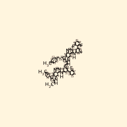 C=CC(=O)Nc1cc2c(Nc3cc(-c4ccccc4F)c[n+](/C=C/C(=O)Nc4cc5c(Nc6cncc(-c7c(F)cccc7F)c6)ncnc5cc4OCCCN4CCN(C)CC4)c3)ncnc2cc1O[C@@H]1CCN(C)C1